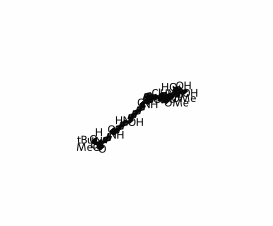 COC(=O)[C@H](CCCCNC(=O)CCCCCNC(O)CCCCCCC(=O)Nc1cccc(COc2cc(OC)c(C(=O)N[C@H]3[C@@H](OC)O[C@H](CO)[C@@H](O)[C@@H]3O)cc2Cl)c1)NC(=O)OC(C)(C)C